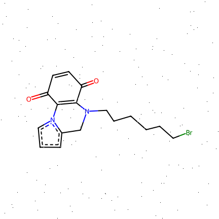 O=C1C=CC(=O)C2=C1N(CCCCCCBr)Cc1cccn12